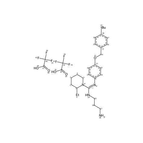 CCC1CCCCN1/C(=N\c1ccc(OCc2ccc(C(C)(C)C)cc2)cc1)NCCCN.O=C(O)C(F)(F)F.O=C(O)C(F)(F)F